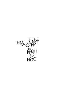 CC1(C)C[C@@](O)(c2ncc(-c3cc(Nc4nccc(C(F)(F)F)n4)cc(-c4cc[nH]n4)c3)s2)CC[C@@H]1C(=O)O